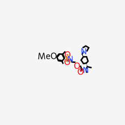 COc1cc(C)c(S(=O)(=O)N(C)CCOCC(=O)N(C)C(C)[C@H]2CC[C@H](CN3CCCC3)CC2)c(C)c1